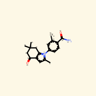 Cc1cc2c(n1-c1ccc(C(N)=O)c(C(F)(F)F)c1)CC(C)(C)CC2=O